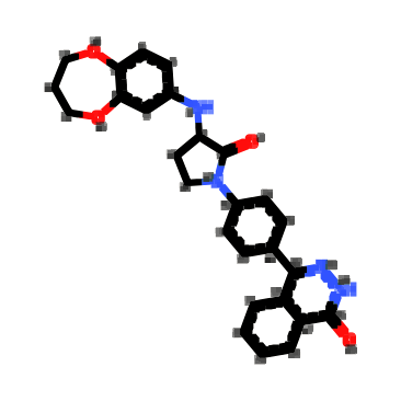 O=C1C(Nc2ccc3c(c2)OCCCO3)CCN1c1ccc(-c2n[nH]c(=O)c3ccccc23)cc1